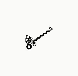 CSCCCCCCCCCCC(=O)N(C1=CCCCC1)S(=O)(=O)C(F)(F)F